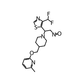 Cc1cccc(OCC2CCN(C(CN=O)c3scnc3C(F)F)CC2)n1